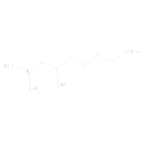 CCCCCCCCOCC(O)CN(C)C